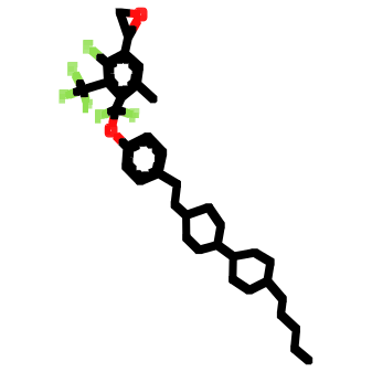 CCCCCC1CCC(C2CCC(CCc3ccc(OC(F)(F)c4c(C)cc(C5CO5)c(F)c4C(F)(F)F)cc3)CC2)CC1